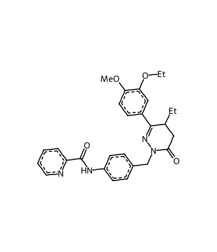 CCOc1cc(C2=NN(Cc3ccc(NC(=O)c4ccccn4)cc3)C(=O)CC2CC)ccc1OC